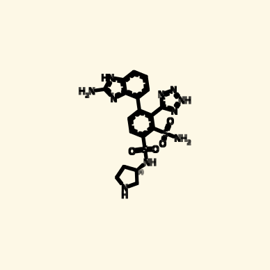 Nc1nc2c(-c3ccc(S(=O)(=O)N[C@@H]4CCNC4)c(S(N)(=O)=O)c3-c3nn[nH]n3)cccc2[nH]1